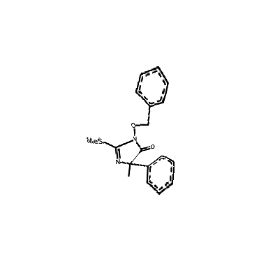 CSC1=NC(C)(c2ccccc2)C(=O)N1OCc1ccccc1